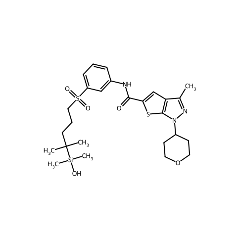 Cc1nn(C2CCOCC2)c2sc(C(=O)Nc3cccc(S(=O)(=O)CCCC(C)(C)[Si](C)(C)O)c3)cc12